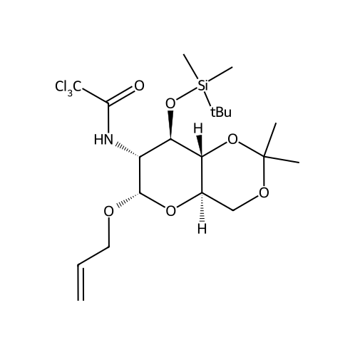 C=CCO[C@H]1O[C@@H]2COC(C)(C)O[C@H]2[C@H](O[Si](C)(C)C(C)(C)C)[C@H]1NC(=O)C(Cl)(Cl)Cl